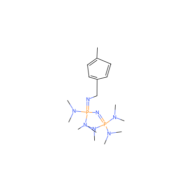 Cc1ccc(CN=P(N=P(N(C)C)(N(C)C)N(C)C)(N(C)C)N(C)C)cc1